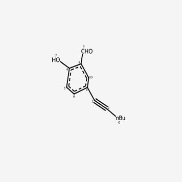 CCCCC#Cc1ccc(O)c(C=O)c1